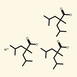 CC(C)CC(C)(CC(C)C)C(=O)[O-].CC(C)CC(C)(CC(C)C)C(=O)[O-].CC(C)CC(C)(CC(C)C)C(=O)[O-].[Al+3]